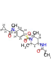 C=CC(=O)NC1CC(C)N(S(=O)(=O)c2ccc(N(C)C(=O)C3CC3)cc2)C(C)C1